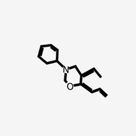 C=C/C=C1/OCN(C2C=CC=CC2)C/C1=C/C